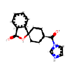 O=C1O[C@]2(CC[C@H](C(=O)n3ccnc3)CC2)c2ccccc21